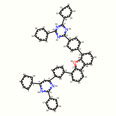 c1ccc(-c2cc(-c3cccc(-c4cccc5c4oc4c(-c6ccc(-c7nc(-c8ccccc8)nc(-c8ccccc8)n7)cc6)cccc45)c3)nc(-c3ccccc3)n2)cc1